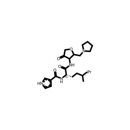 CC(C)C(C)CC[C@H](NC(=O)c1cc[nH]c1)C(=O)NC1C(=O)COC1CN1CCCC1